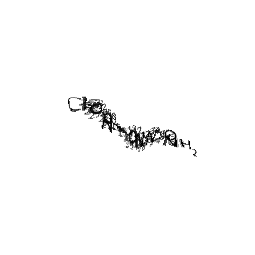 NC(=O)C1CCN(C2CCN(c3ccc(C#Cc4ccc(-c5ccc(Cl)cc5)cn4)cc3)C2)CC1